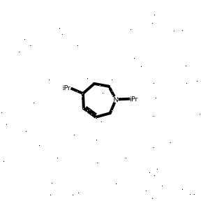 CC(C)C1C=CCN(C(C)C)CC1